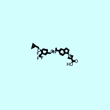 C/C(=N\OCc1ccc(OCC2CC2)c(C(F)(F)F)c1)c1ccc2c(c1)CCC2N1CC(C(=O)O)C1